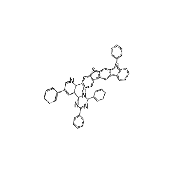 C1=CC(C2=CC(C3=NC(c4ccccc4)=NC(C4=CCCC=C4)N3)C(c3ccc4c(c3)sc3cc5c(cc34)c3ccccc3n5-c3ccccc3)N=C2)=CCC1